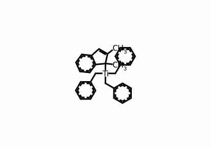 CC1=Cc2ccccc2[C]1(C)[Ti]([CH2]c1ccccc1)([CH2]c1ccccc1)[CH2]c1ccccc1